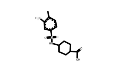 Cc1ccc(S(=O)(=O)NC2CCC(C(=O)O)CC2)cc1N